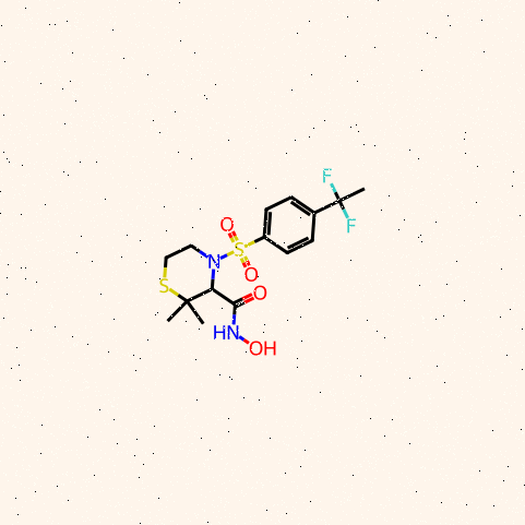 CC(F)(F)c1ccc(S(=O)(=O)N2CCSC(C)(C)C2C(=O)NO)cc1